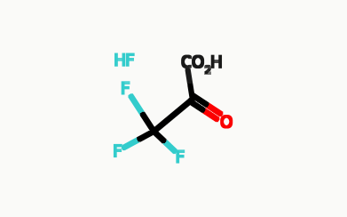 F.O=C(O)C(=O)C(F)(F)F